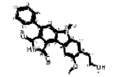 COc1cc2c3c4c(c(-c5ccccc5)cc3n(C)c2cc1CCO)C(=O)NC4=O